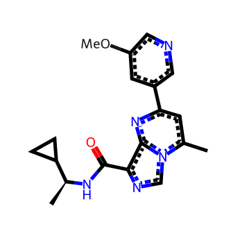 COc1cncc(-c2cc(C)n3cnc(C(=O)N[C@@H](C)C4CC4)c3n2)c1